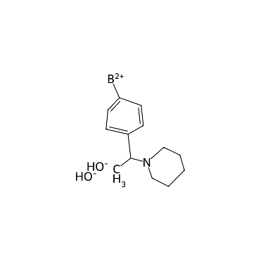 [B+2]c1ccc(C(C)N2CCCCC2)cc1.[OH-].[OH-]